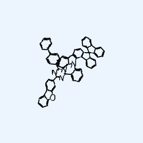 c1ccc(-c2ccc(-c3nc(-c4ccc5c(c4)oc4ccccc45)nc(-c4ccccc4-n4c5ccccc5c5ccc6c(c54)-c4ccccc4C64c5ccccc5-c5ccccc54)n3)cc2)cc1